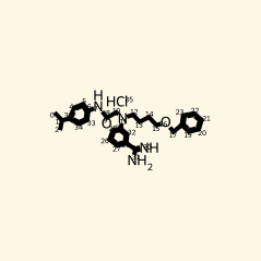 CC(C)c1ccc(NC(=O)CN(CCCCOCc2ccccc2)c2cccc(C(=N)N)c2)cc1.Cl